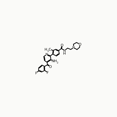 Cc1cc(C(=O)NCCN2CCOCC2)ccc1-c1nccc(C(=O)c2ccc(F)cc2F)c1N